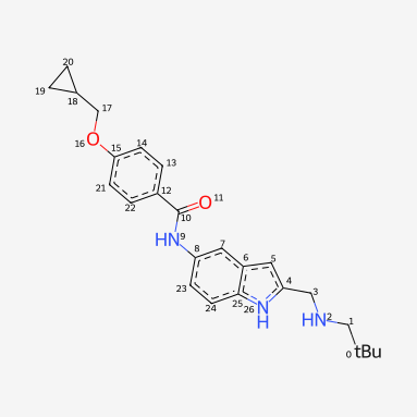 CC(C)(C)CNCc1cc2cc(NC(=O)c3ccc(OCC4CC4)cc3)ccc2[nH]1